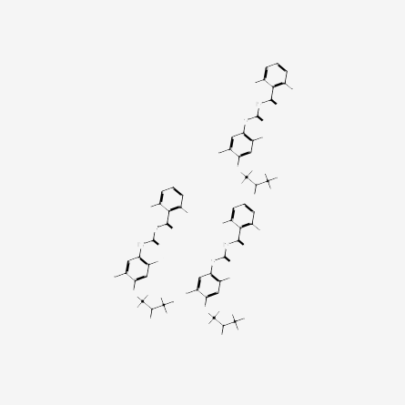 O=C(NC(=O)c1c(F)cccc1F)Nc1cc(Cl)c(OC(F)(F)C(F)C(F)(F)F)cc1Cl.O=C(NC(=O)c1c(F)cccc1F)Nc1cc(Cl)c(OC(F)(F)C(F)C(F)(F)F)cc1Cl.O=C(NC(=O)c1c(F)cccc1F)Nc1cc(Cl)c(OC(F)(F)C(F)C(F)(F)F)cc1Cl